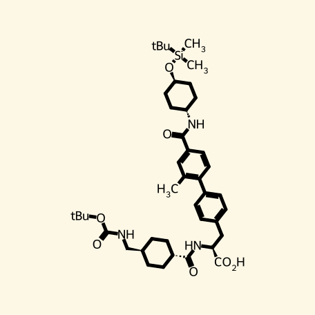 Cc1cc(C(=O)N[C@H]2CC[C@H](O[Si](C)(C)C(C)(C)C)CC2)ccc1-c1ccc(C[C@H](NC(=O)[C@H]2CC[C@H](CNC(=O)OC(C)(C)C)CC2)C(=O)O)cc1